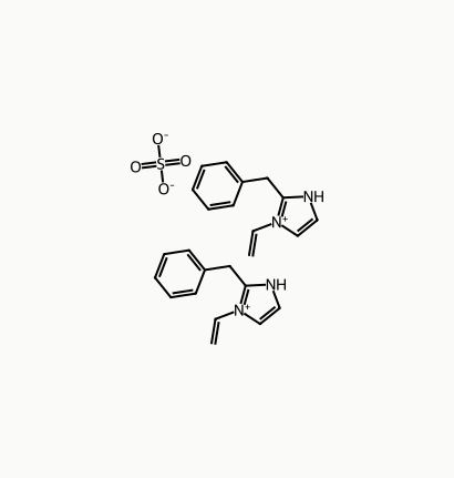 C=C[n+]1cc[nH]c1Cc1ccccc1.C=C[n+]1cc[nH]c1Cc1ccccc1.O=S(=O)([O-])[O-]